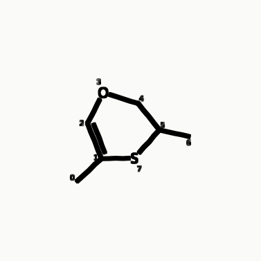 CC1=COCC(C)S1